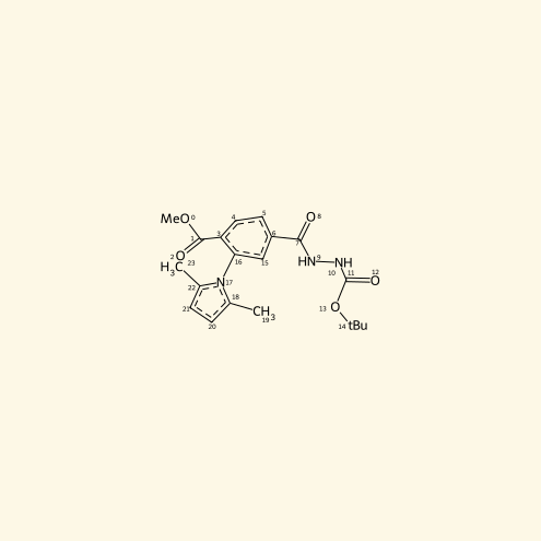 COC(=O)c1ccc(C(=O)NNC(=O)OC(C)(C)C)cc1-n1c(C)ccc1C